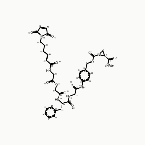 CNC(=O)[C@@H]1CN1C(=O)OCc1ccc(NC(=O)CNC(=O)[C@H](Cc2ccccc2)NC(=O)COC(=O)CNC(=O)CCCCCN2C(=O)C=CC2=O)cc1